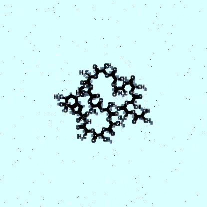 CCN[C@H]1C[C@H](C)S(=O)(=O)c2sc(S(=O)(=O)NC(=O)[C@H](C)OC(=O)[C@H](C)OC(=O)[C@H](C)OC(=O)[C@H](C)OC(=O)[C@H](C)OC(=O)[C@H](C)OC(=O)[C@H](C)OC(=O)[C@H](C)OC(=O)[C@H](C)OC(=O)[C@H](C)OC(=O)[C@H](C)OC(=O)[C@H](C)OC(=O)[C@H](C)OC(=O)[C@H](C)O)cc21